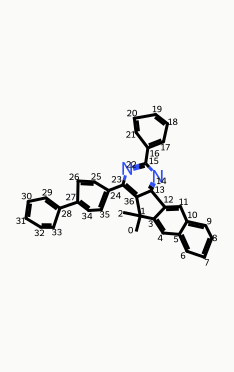 CC1(C)c2cc3ccccc3cc2-c2nc(-c3ccccc3)nc(-c3ccc(-c4ccccc4)cc3)c21